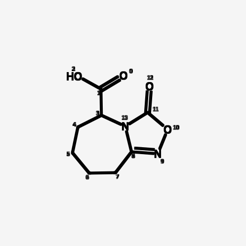 O=C(O)C1CCCCc2noc(=O)n21